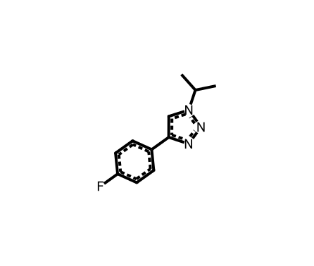 CC(C)n1cc(-c2ccc(F)cc2)nn1